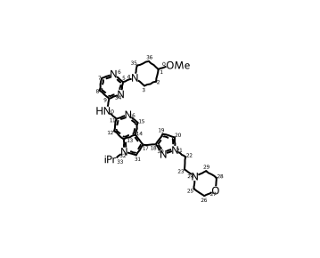 COC1CCN(c2nccc(Nc3cc4c(cn3)c(-c3ccn(CCN5CCOCC5)n3)cn4C(C)C)n2)CC1